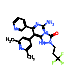 Cc1cc(-c2c(-c3cccnc3)nc(N)[n+]3c(=O)n(CCC(F)(F)F)[nH]c23)cc(C)n1